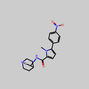 Cn1c(C(=O)NC2CN3CCC2CC3)ccc1-c1ccc([N+](=O)[O-])cc1